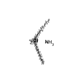 CCCCCCCCCCCCCCCCCC(=O)CC(C(=O)CCCCCCCCCCCCCCCCC)C(C)C.N